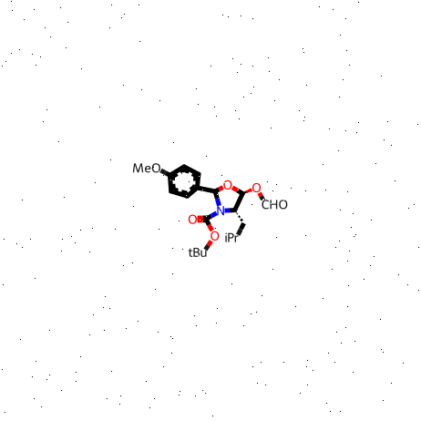 COc1ccc(C2O[C@@H](OC=O)[C@H](CC(C)C)N2C(=O)OC(C)(C)C)cc1